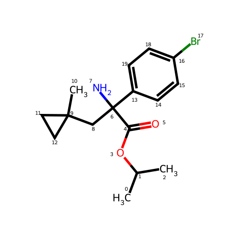 CC(C)OC(=O)C(N)(CC1(C)CC1)c1ccc(Br)cc1